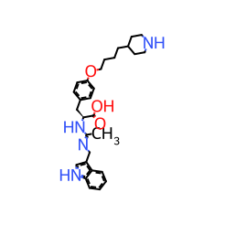 C/C(=N\Cc1c[nH]c2ccccc12)N[C@@H](Cc1ccc(OCCCCC2CCNCC2)cc1)C(=O)O